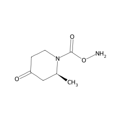 C[C@H]1CC(=O)CCN1C(=O)ON